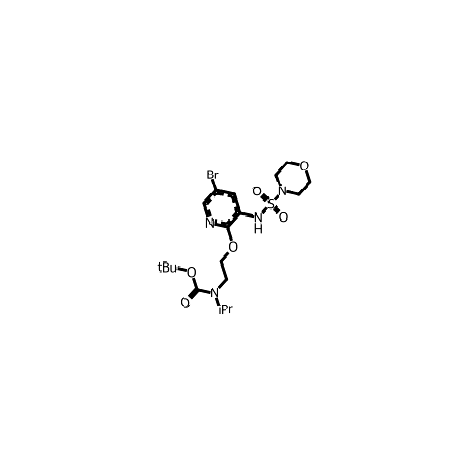 CC(C)N(CCOc1ncc(Br)cc1NS(=O)(=O)N1CCOCC1)C(=O)OC(C)(C)C